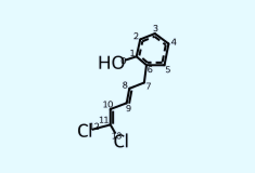 Oc1ccccc1CC=CC=C(Cl)Cl